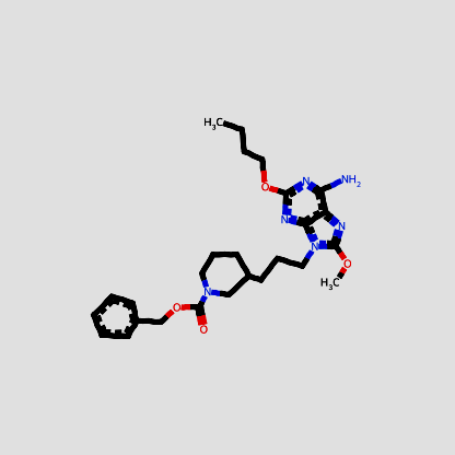 CCCCOc1nc(N)c2nc(OC)n(CCCC3CCCN(C(=O)OCc4ccccc4)C3)c2n1